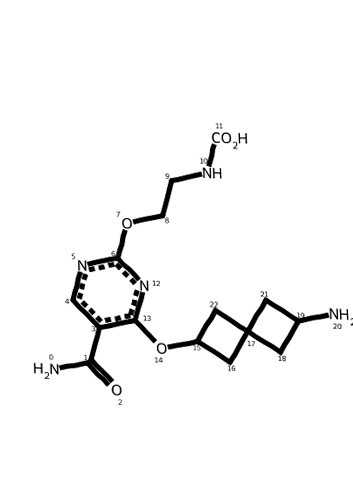 NC(=O)c1cnc(OCCNC(=O)O)nc1OC1CC2(CC(N)C2)C1